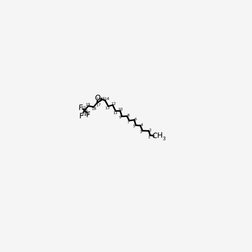 CCCCCCCCCCCCCCCC1OC1CCC(F)(F)F